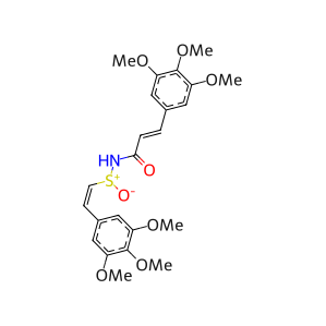 COc1cc(/C=C\[S+]([O-])NC(=O)/C=C/c2cc(OC)c(OC)c(OC)c2)cc(OC)c1OC